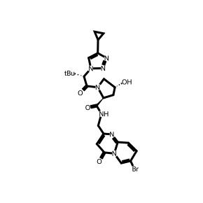 CC(C)(C)[C@@H](C(=O)N1C[C@H](O)C[C@H]1C(=O)NCc1cc(=O)n2cc(Br)ccc2n1)n1cc(C2CC2)nn1